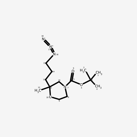 CC(C)(C)OC(=O)N1CCOC(C)(CCCN=[N+]=[N-])C1